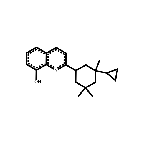 CC1(C)CC(c2ccc3cccc(O)c3n2)CC(C)(C2CC2)C1